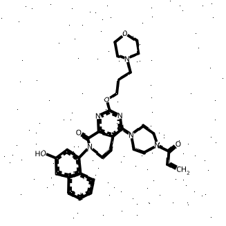 C=CC(=O)N1CCN(c2nc(OCCCN3CCOCC3)nc3c2CCN(c2cc(O)cc4ccccc24)C3=O)CC1